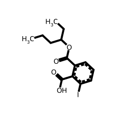 CCCC(CC)OC(=O)c1cccc(I)c1C(=O)O